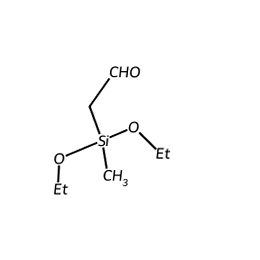 CCO[Si](C)(CC=O)OCC